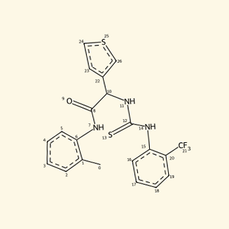 Cc1ccccc1NC(=O)C(NC(=S)Nc1ccccc1C(F)(F)F)c1ccsc1